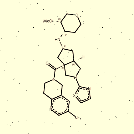 CO[C@@H]1COCC[C@@H]1N[C@@H]1C[C@H]2CN(c3nccs3)C[C@@]2(C(=O)N2CCc3ncc(C(F)(F)F)cc3C2)C1